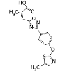 CC(=Cc1nc(-c2ccc(Oc3ncc(C)s3)cc2)no1)C(=O)O